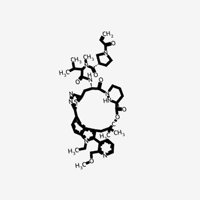 C=CC(=O)N1CC[C@H](C(=O)N(C)C(C(=O)N[C@H]2Cc3nnc(s3)-c3ccc4c(c3)c(c(-c3cccnc3COC)n4CC)CC(C)(C)COC(=O)[C@@H]3CCCN(N3)C2=O)C(C)C)C1